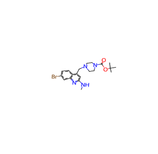 CNc1cc(CN2CCN(C(=O)OC(C)(C)C)CC2)c2ccc(Br)cc2n1